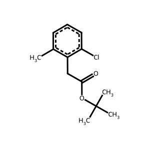 Cc1cccc(Cl)c1CC(=O)OC(C)(C)C